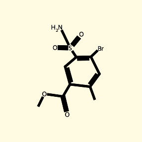 COC(=O)c1cc(S(N)(=O)=O)c(Br)cc1C